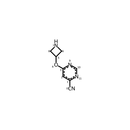 N#Cc1cc(OC2CNC2)ncn1